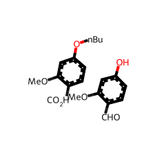 CCCCOc1ccc(C(=O)O)c(OC)c1.COc1cc(O)ccc1C=O